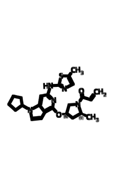 C=CC(=O)N1C[C@@H](Oc2nc(Nc3ncc(C)s3)cc3c2ccn3C2CCCC2)C[C@@H]1C